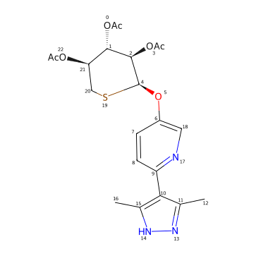 CC(=O)O[C@@H]1[C@@H](OC(C)=O)[C@@H](Oc2ccc(-c3c(C)n[nH]c3C)nc2)SC[C@H]1OC(C)=O